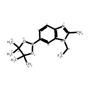 Cc1nc2ccc(B3OC(C)(C)C(C)(C)O3)cc2n1CC(F)(F)F